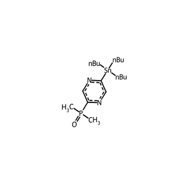 CCC[CH2][Sn]([CH2]CCC)([CH2]CCC)[c]1cnc(P(C)(C)=O)cn1